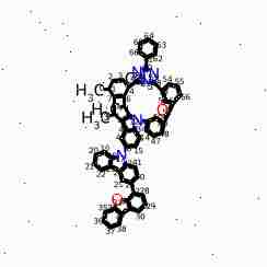 CC1C=CC2(C)C3=C1C(C)c1c(n(c4ccc(-n5c6ccccc6c6cc(-c7cccc8c7oc7ccccc78)ccc65)cc14)-c1cccc4c1oc1c(cccc14)-c1nc(-c4ccccc4)nc2n1)C3C